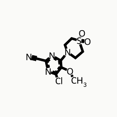 COc1c(Cl)nc(C#N)nc1N1CCS(=O)(=O)CC1